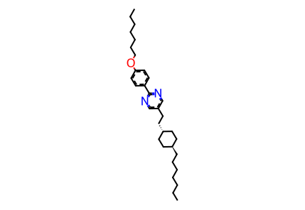 CCCCCCCOc1ccc(-c2ncc(CC[C@H]3CC[C@H](CCCCCCC)CC3)cn2)cc1